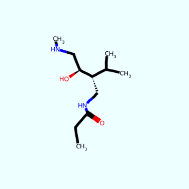 CCC(=O)NC[C@@H](C(C)C)[C@@H](O)CNC